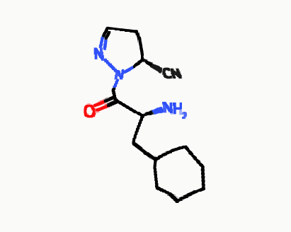 N#C[C@@H]1CC=NN1C(=O)[C@@H](N)CC1CCCCC1